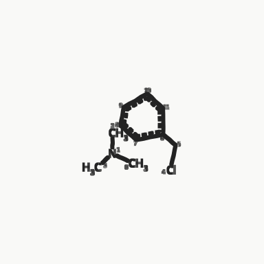 CN(C)C.ClCc1ccccc1